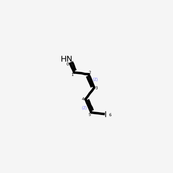 N=C/C=C\C=C/I